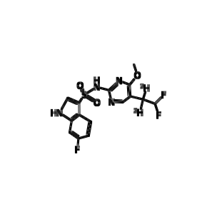 [2H]C([2H])(c1cnc(NS(=O)(=O)c2c[nH]c3cc(F)ccc23)nc1OC)C(F)F